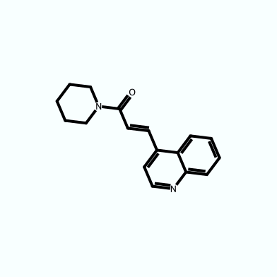 O=C(C=Cc1ccnc2ccccc12)N1CCCCC1